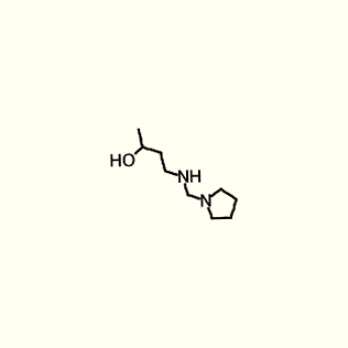 CC(O)CCNCN1CCCC1